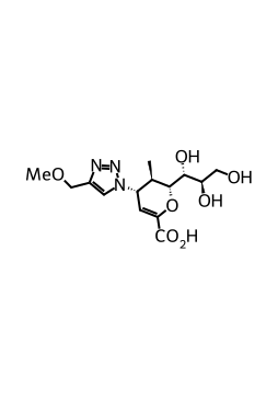 COCc1cn([C@H]2C=C(C(=O)O)O[C@@H]([C@H](O)[C@H](O)CO)[C@@H]2C)nn1